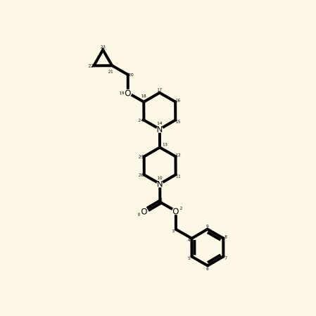 O=C(OCc1ccccc1)N1CCC(N2CCCC(OCC3CC3)C2)CC1